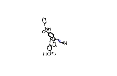 COc1cc(C(=O)O)ccc1Cn1cc(/C=C/C#N)c2ccc(C(=O)NCC3CCCC3)cc21